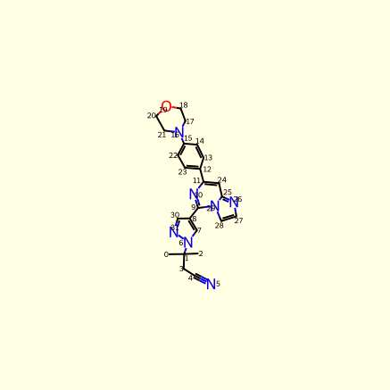 CC(C)(CC#N)n1cc(-c2nc(-c3ccc(N4CCOCC4)cc3)cc3nccn23)cn1